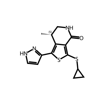 C[C@@H]1CNC(=O)c2c(SC3CC3)sc(-c3cc[nH]n3)c21